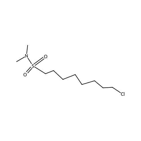 CN(C)S(=O)(=O)CCCCCCCCCl